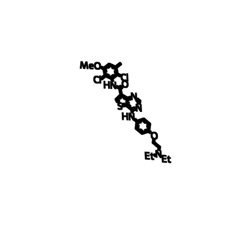 CCN(CC)CCOc1ccc(Nc2ncnc3c(C(=O)Nc4c(Cl)c(C)cc(OC)c4Cl)csc23)cc1